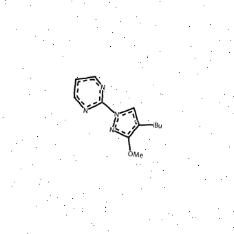 CCC(C)c1cn(-c2ncccn2)nc1OC